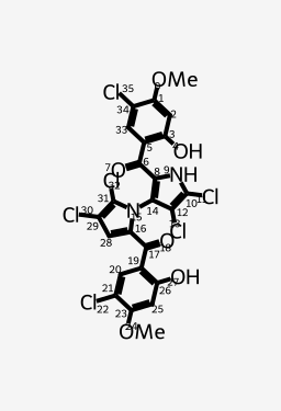 COc1cc(O)c(C(=O)c2[nH]c(Cl)c(Cl)c2-n2c(C(=O)c3cc(Cl)c(OC)cc3O)cc(Cl)c2Cl)cc1Cl